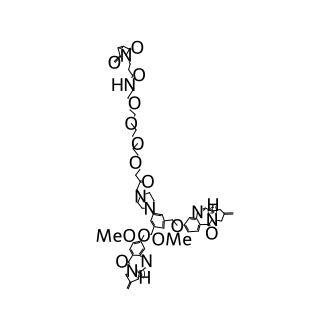 C=C1C[C@H]2C=Nc3cc(OCc4cc(COc5cc6c(cc5OC)C(=O)N5CC(=C)C[C@H]5C=N6)cc(N5CCN(CC(=O)CCOCCOCCOCCOCCNC(=O)CCN6C(=O)C=CC6=O)CC5)c4)c(OC)cc3C(=O)N2C1